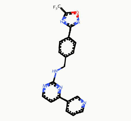 FC(F)(F)c1nc(-c2ccc(CNc3nccc(-c4cccnc4)n3)cc2)no1